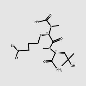 CCCC(=O)N(C)[C@H](SCCCN(CC)CC)C(=O)N(C)[C@@H](CC(C)(C)O)C(N)=O